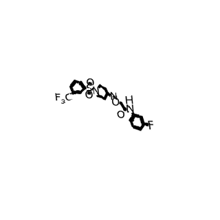 O=C(CON=C1CCN(S(=O)(=O)c2cccc(C(F)(F)F)c2)CC1)Nc1cccc(F)c1